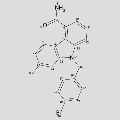 Cc1c[c]c2c3c(C(N)=O)cccc3n(Cc3ccc(Br)cc3)c2c1